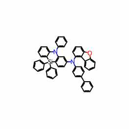 c1ccc(-c2ccc(N(c3ccc4c(c3)N(c3ccccc3)c3ccccc3[Si]4(c3ccccc3)c3ccccc3)c3cccc4oc5ccccc5c34)cc2)cc1